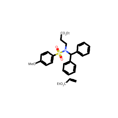 C=CC(=O)OCC.CCOC(=O)CCN(C(c1ccccc1)c1ccccc1)S(=O)(=O)c1ccc(OC)cc1